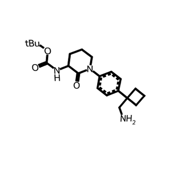 CC(C)(C)OC(=O)NC1CCCN(c2ccc(C3(CN)CCC3)cc2)C1=O